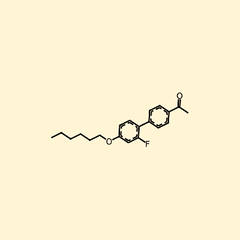 CCCCCCOc1ccc(-c2ccc(C(C)=O)cc2)c(F)c1